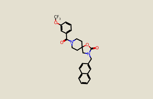 O=C1OC2(CCN(C(=O)c3cccc(OC(F)(F)F)c3)CC2)CN1Cc1ccc2ccccc2c1